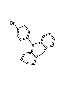 Brc1ccc(-c2c3[c]cccc3cc3ccccc23)cc1